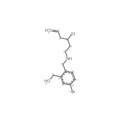 C=CCC(CC)CCNCc1ccc(Br)cc1CO